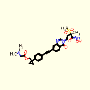 CN(C)CC(=O)OCC1(c2ccc(C#Cc3ccc4c(=O)n(CC[C@](C)(C(=O)NO)S(C)(=O)=O)cnc4c3)cc2)CC1